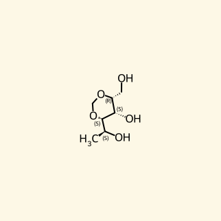 C[C@H](O)[C@@H]1OCO[C@H](CO)[C@@H]1O